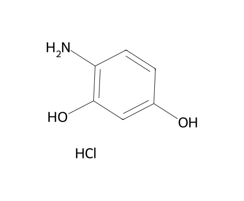 Cl.Nc1ccc(O)cc1O